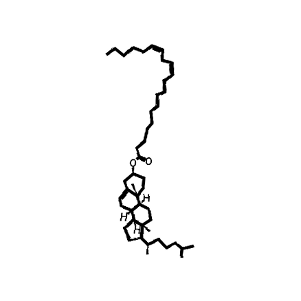 CCCCC/C=C\C/C=C\CCCCCCCCCC(=O)O[C@H]1CC[C@@]2(C)C(=CC[C@H]3[C@@H]4CC[C@H]([C@H](C)CCCC(C)C)[C@@]4(C)CC[C@@H]32)C1